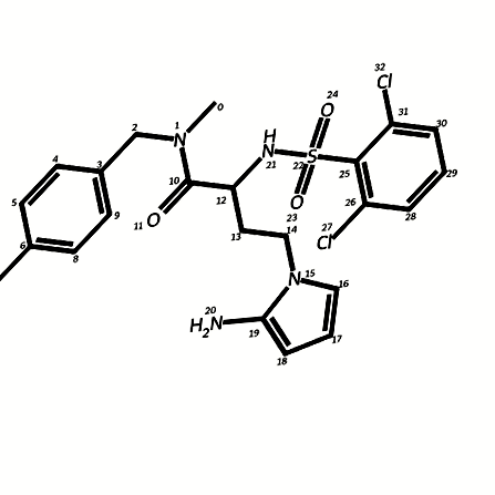 CN(Cc1ccc(Cl)cc1)C(=O)C(CCn1cccc1N)NS(=O)(=O)c1c(Cl)cccc1Cl